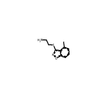 Cc1cccc2onc(SCCN)c12